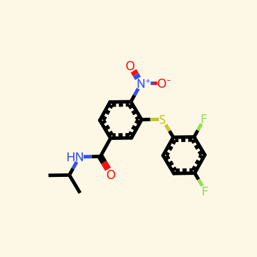 CC(C)NC(=O)c1ccc([N+](=O)[O-])c(Sc2ccc(F)cc2F)c1